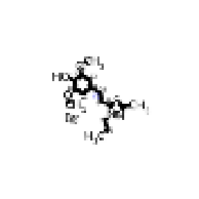 C=CC[n+]1nc(C)sc1/C=C/c1cc(OC)c(O)c(OC)c1.[Br-]